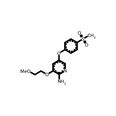 COCCOc1cc(Oc2ccc(S(C)(=O)=O)cc2)cnc1N